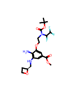 COC(=O)c1cc(NC[C@@H]2CCO2)c(N)c(OCCN(C(=O)OC(C)(C)C)C(F)C(F)F)c1